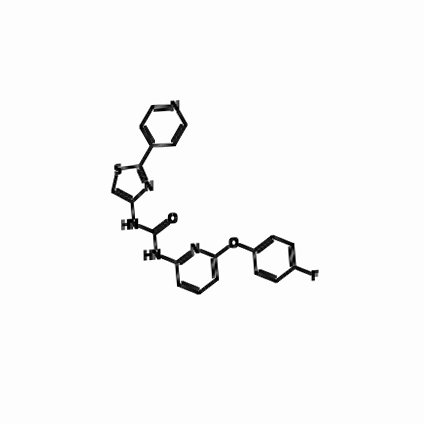 O=C(Nc1cccc(Oc2ccc(F)cc2)n1)Nc1csc(-c2ccncc2)n1